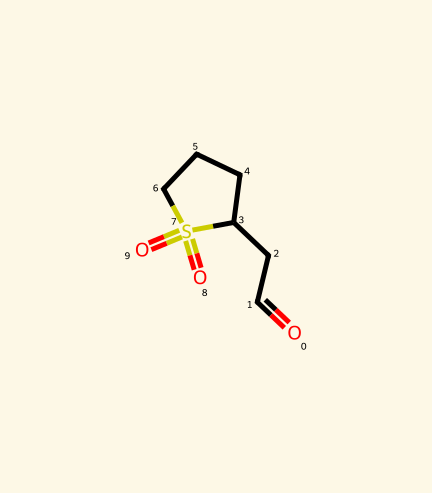 O=CCC1CCCS1(=O)=O